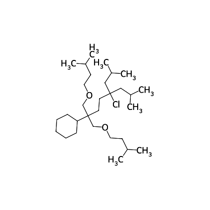 CC(C)CCOCC(CCC(Cl)(CC(C)C)CC(C)C)(COCCC(C)C)C1CCCCC1